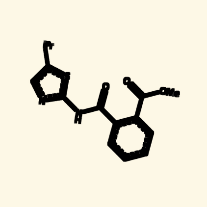 COC(=O)c1ccccc1C(=O)Nc1ncc(C(C)C)s1